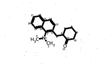 CN(C)c1c(CC2CCCCC2=O)ccc2ccccc12